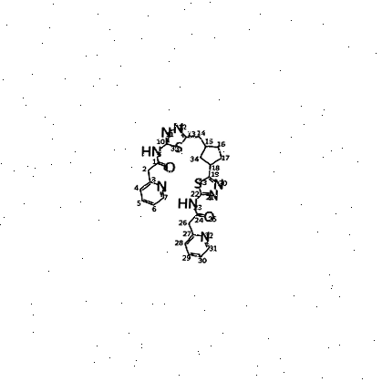 O=C(Cc1ccccn1)Nc1nnc(CC2CCC(c3nnc(NC(=O)Cc4ccccn4)s3)C2)s1